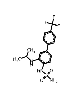 CC(C)Nc1cc(-c2ccc(C(F)(F)F)cc2)ccc1NS(N)(=O)=O